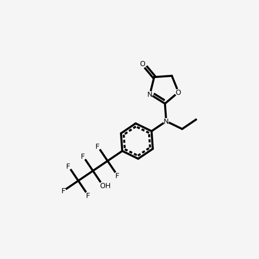 CCN(C1=NC(=O)CO1)c1ccc(C(F)(F)C(O)(F)C(F)(F)F)cc1